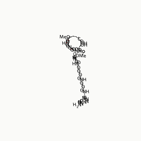 CO[C@H]1C[C@@H]2CC[C@@H](C)[C@@](O)(O2)C(=O)C(=O)N2CCCC[C@H]2C(=O)O[C@H]([C@H](N)C[C@@H]2CC[C@H](n3cc(COC(=O)NCCOCCOCCOCCC(=O)NCCOCCOCCC(=O)NCCCCn4nc(-c5ccc6oc(N)nc6c5)c5c(N)ncnc54)nn3)[C@H](OC)C2)C/C(=N/OCc2ccccc2)[C@H](C)/C=C(\C)[C@@H](O)[C@@H](O)C(=O)[C@H](C)C[C@H](C)/C=C/C=C/C=C/1C